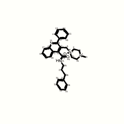 CN1CC[N+]([O-])(Cc2c(-c3ccccc3)nc3ccccc3c2C(=O)NCCCc2ccccc2)CC1